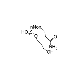 CCCCCCCCCCCC(N)=O.O=S(=O)(O)OCCCO